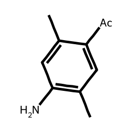 CC(=O)c1cc(C)c(N)cc1C